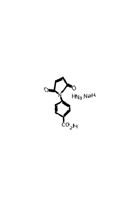 O=C(O)c1ccc(N2C(=O)C=CC2=O)cc1.[NaH].[NaH]